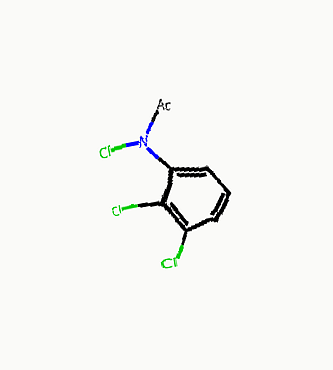 CC(=O)N(Cl)c1cccc(Cl)c1Cl